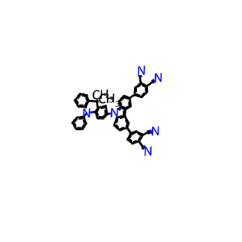 CC1(C)c2ccccc2N(c2ccccc2)c2ccc(-n3c4ccc(-c5ccc(C#N)c(C#N)c5)cc4c4cc(-c5ccc(C#N)c(C#N)c5)ccc43)cc21